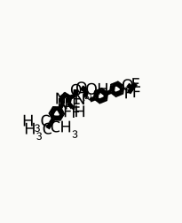 CC(C)(C)c1ccc(-n2ncc(C(=O)N[C@@H](Cc3ccc(-c4ccc(OC(F)(F)F)cc4)cc3)C(=O)O)c2C(F)(F)F)cc1